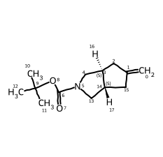 C=C1C[C@@H]2CN(C(=O)OC(C)(C)C)C[C@H]2C1